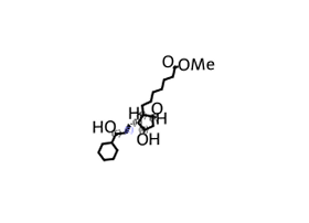 COC(=O)CCCCC1C[C@@H]2[C@@H](/C=C/[C@@H](O)C3CCCCC3)[C@H](O)C[C@H]2O1